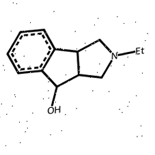 CCN1CC2c3ccccc3C(O)C2C1